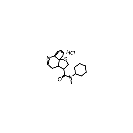 CN(C(=O)C1CSC23CC=CC=C2N=CCC13)C1CCCCC1.Cl